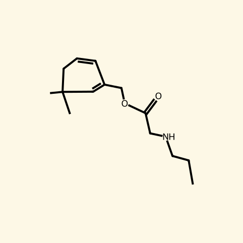 CCCNCC(=O)OCC1=CC(C)(C)CC=C1